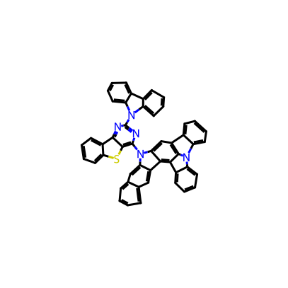 c1ccc2cc3c(cc2c1)c1c2c4ccccc4n4c5ccccc5c(cc1n3-c1nc(-n3c5ccccc5c5ccccc53)nc3c1sc1ccccc13)c24